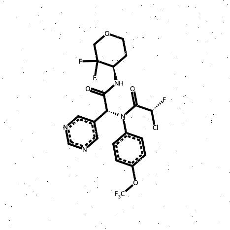 O=C(N[C@@H]1CCOCC1(F)F)[C@@H](c1cncnc1)N(C(=O)[C@H](F)Cl)c1ccc(OC(F)(F)F)cc1